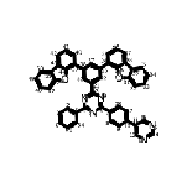 c1ccc(-c2nc(-c3ccc(-c4cncnc4)cc3)nc(-c3cc(-c4cccc5c4oc4ccccc45)cc(-c4cccc5c4oc4ccccc45)c3)n2)cc1